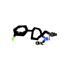 CNCC1(NC=O)CCC(c2cccc(F)c2)CC1